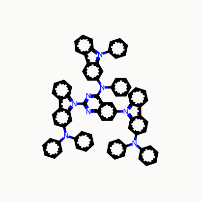 c1ccc(N(c2ccccc2)c2ccc3c4ccccc4n(-c4ccc5nc(-n6c7ccccc7c7ccc(N(c8ccccc8)c8ccccc8)cc76)nc(N(c6ccccc6)c6ccc7c8ccccc8n(-c8ccccc8)c7c6)c5c4)c3c2)cc1